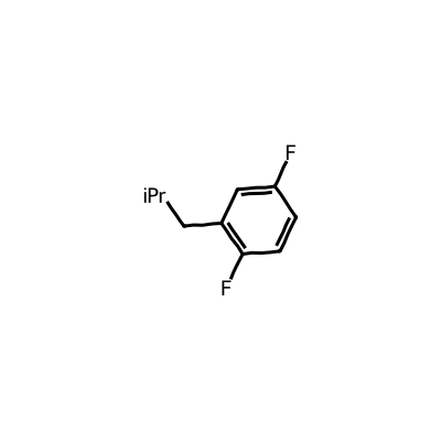 CC(C)Cc1cc(F)ccc1F